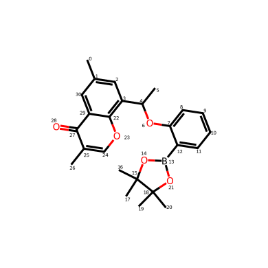 Cc1cc(C(C)Oc2ccccc2B2OC(C)(C)C(C)(C)O2)c2occ(C)c(=O)c2c1